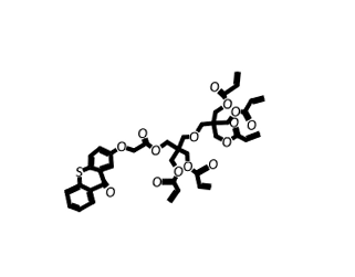 C=CC(=O)OCC(COCC(COC(=O)C=C)(COC(=O)C=C)COC(=O)COc1ccc2sc3ccccc3c(=O)c2c1)(COC(=O)C=C)COC(=O)C=C